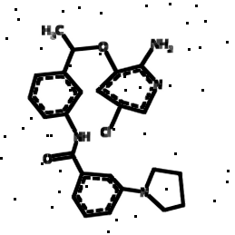 CC(Oc1cc(Cl)cnc1N)c1cccc(NC(=O)c2cccc(N3CCCC3)c2)c1